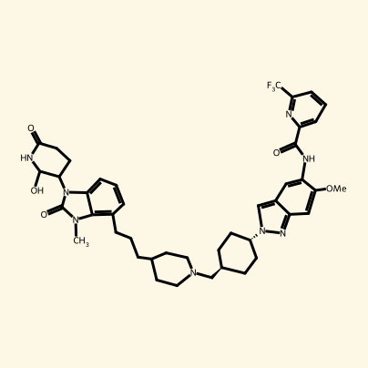 COc1cc2nn([C@H]3CC[C@H](CN4CCC(CCCc5cccc6c5n(C)c(=O)n6C5CCC(=O)NC5O)CC4)CC3)cc2cc1NC(=O)c1cccc(C(F)(F)F)n1